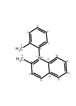 Cc1ccccc1-[n+]1c(C)ccc2ccccc21